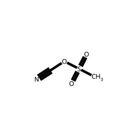 CS(=O)(=O)OC#N